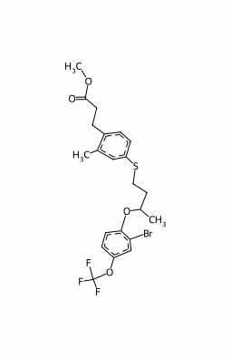 COC(=O)CCc1ccc(SCCC(C)Oc2ccc(OC(F)(F)F)cc2Br)cc1C